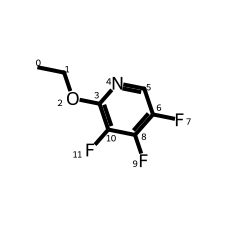 CCOc1ncc(F)c(F)c1F